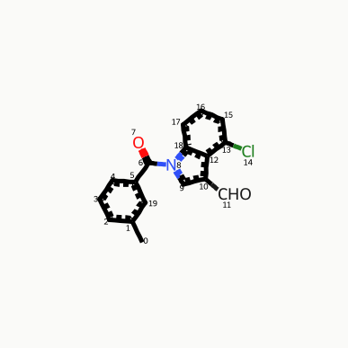 Cc1cccc(C(=O)n2cc(C=O)c3c(Cl)cccc32)c1